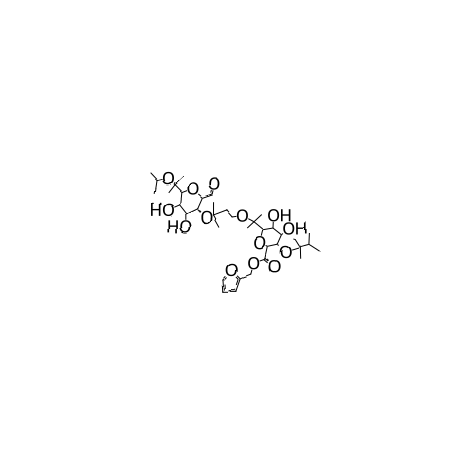 CC(C)OC(C)(C)C1OC(C=O)[C@@H](OC(C)(C)CCOC(C)(C)C2OC(C(=O)OCc3ccco3)[C@@H](OC(C)(C)C(C)C)C(O)C2O)C(O)C1O